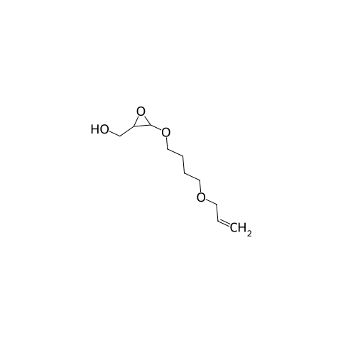 C=CCOCCCCOC1OC1CO